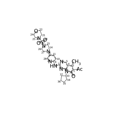 CC(=O)c1c(C)c2cnc(Nc3ccc(N4CCN(S(=O)(=O)N5CCOCC5)CC4)cn3)nc2n(C2CCCC2)c1=O